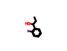 CC[C](O)c1ccccc1I